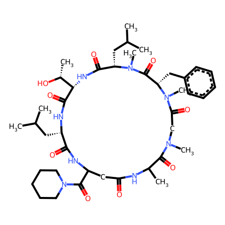 CC(C)C[C@@H]1NC(=O)[C@H]([C@@H](C)O)NC(=O)[C@H](CC(C)C)N(C)C(=O)[C@H](Cc2ccccc2)N(C)C(=O)CN(C)C(=O)C(C)NC(=O)CC(C(=O)N2CCCCC2)NC1=O